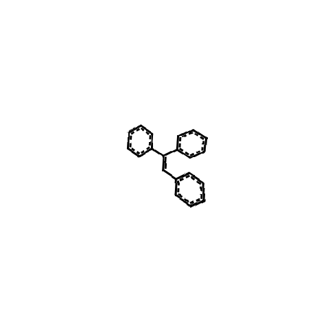 [c]1ccc(C(=Cc2ccccc2)c2ccccc2)cc1